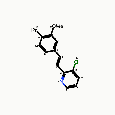 COc1cc(/C=C/c2ncccc2Cl)ccc1C(C)C